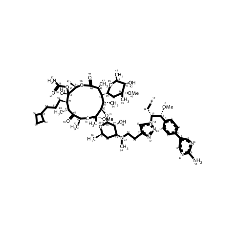 CO[C@H](c1ccc(-c2cnc(N)nc2)cc1)[C@@H](CF)n1cc(CCN(C)[C@H]2C[C@@H](C)O[C@@H](O[C@@H]3[C@@H](C)C([C@H]4C[C@@](C)(OC)[C@@H](O)[C@H](C)O4)[C@@H](C)C(=O)O[C@H](I)[C@@](C)(OC(N)=O)[C@H](CCCC4CCC4)[C@@H](C)C(=O)[C@H](C)C[C@@]3(C)OC)[C@@H]2O)nn1